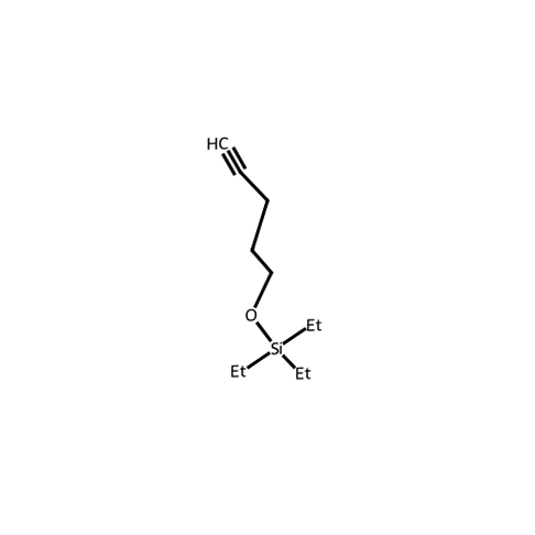 C#CCCCO[Si](CC)(CC)CC